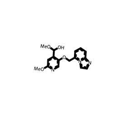 COc1cc(C(O)OC)c(OCc2cccc3nccn23)cn1